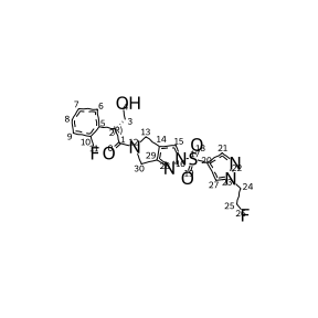 O=C([C@@H](CO)c1ccccc1F)N1Cc2cn(S(=O)(=O)c3cnn(CCF)c3)nc2C1